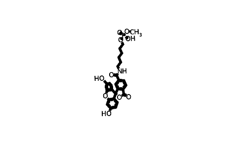 COP(=O)(O)OCCCCCCNC(=O)c1ccc2c(c1)C1(OC2=O)c2ccc(O)cc2Oc2cc(O)ccc21